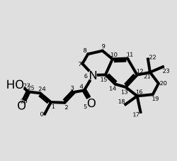 CC(C=CC(=O)N1CCCc2cc3c(cc21)C(C)(C)CCC3(C)C)=CC(=O)O